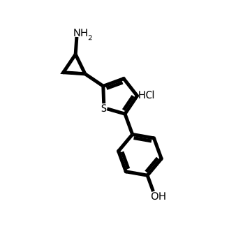 Cl.NC1CC1c1ccc(-c2ccc(O)cc2)s1